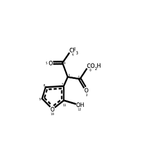 O=C(O)C(=O)C(C(=O)C(F)(F)F)c1ccoc1O